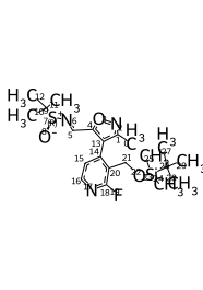 Cc1noc(C=N[S@@+]([O-])C(C)(C)C)c1-c1ccnc(F)c1CO[Si](C)(C)C(C)(C)C